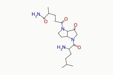 CC(C)CCC(N)C(=O)N1CC(=O)C2C1CCN2C(=O)[CH]CC(C)C(N)=O